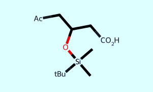 CC(=O)CC(CC(=O)O)O[Si](C)(C)C(C)(C)C